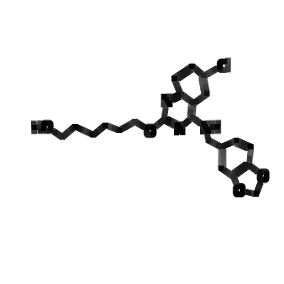 OCCCCCCOc1nc(NCc2ccc3c(c2)OCO3)c2cc(Cl)ccc2n1